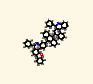 c1ccc(-c2nc3ccccc3c3c2cc(-c2c4ccccc4c(-c4ccc5c(c4)nc(-c4ccccc4)c4ccc6c7ccccc7oc6c45)c4ccccc24)c2ccccc23)cc1